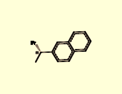 CC(C)[C@@H](C)c1ccc2ccccc2c1